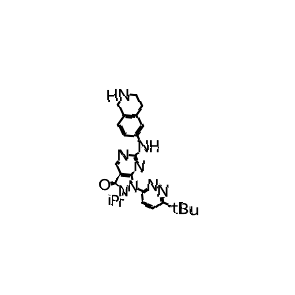 CC(C)n1c(=O)c2cnc(Nc3ccc4c(c3)CCNC4)nc2n1-c1ccc(C(C)(C)C)nn1